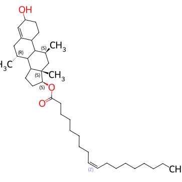 CCCCCCCC/C=C\CCCCCCCC(=O)O[C@H]1CCC2C3C(C4CCC(O)C=C4C[C@H]3C)[C@@H](C)C[C@@]21C